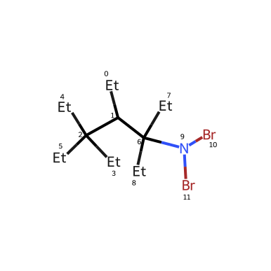 CCC(C(CC)(CC)CC)C(CC)(CC)N(Br)Br